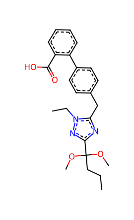 CCCC(OC)(OC)c1nc(Cc2ccc(-c3ccccc3C(=O)O)cc2)n(CC)n1